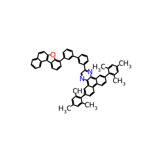 Cc1cc(C)c(-c2ccc3c4ccc(-c5c(C)cc(C)cc5C)cc4c4nc(-c5cccc(-c6cccc(-c7cccc8c7oc7ccc9ccccc9c78)c6)c5)cnc4c3c2)c(C)c1